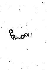 Oc1ccc(CCCN2CCC(Cc3ccccc3)CC2)cc1